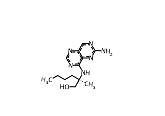 CCCC[C@](C)(CO)Nc1ncnc2cnc(N)nc12